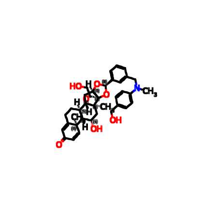 CN(Cc1cccc([C@@H]2O[C@@H]3C[C@H]4[C@@H]5CCC6=CC(=O)C=C[C@]6(C)[C@H]5[C@@H](O)C[C@]4(C)[C@]3(C(=O)CO)O2)c1)c1ccc(CO)cc1